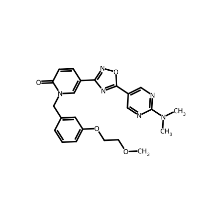 COCCOc1cccc(Cn2cc(-c3noc(-c4cnc(N(C)C)nc4)n3)ccc2=O)c1